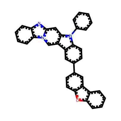 c1ccc(-n2c3ccc(-c4ccc5oc6ccccc6c5c4)cc3c3cn4c(cc32)nc2ccccc24)cc1